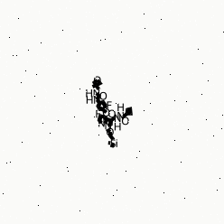 CC1(CNC(=O)Nc2cc(F)c(Oc3ccnc4c3c(C(=O)NNC(=O)C3CCC3)cn4COCC[Si](C)(C)C)c(F)c2)COC1